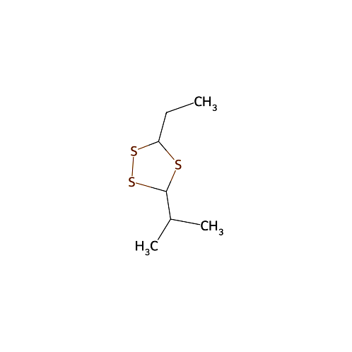 CCC1SSC(C(C)C)S1